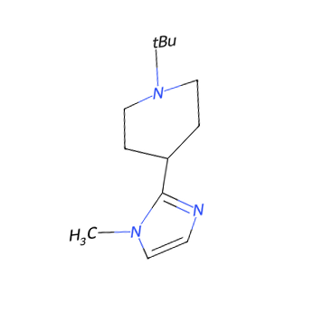 Cn1ccnc1C1CCN(C(C)(C)C)CC1